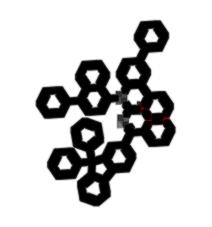 c1ccc(-c2ccc(N(c3nc(-c4ccc5c(c4)C(c4ccccc4)(c4ccccc4)c4ccccc4-5)c4ccccc4n3)c3ccc(-c4ccccc4)c4ccccc34)c(-c3ccccc3)c2)cc1